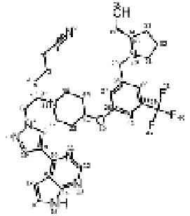 N#CCCC[C@@H](Cn1cc(-c2ncnc3[nH]ccc23)cn1)N1CCC(Oc2cc(CN3CCC[C@@H]3CO)cc(C(F)(F)F)n2)CC1